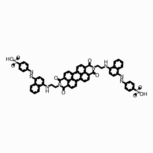 O=C1c2ccc3c4ccc5c6c(ccc(c7ccc(c2c37)C(=O)N1CCNc1ccc(N=Nc2ccc(S(=O)(=O)O)cc2)c2ccccc12)c64)C(=O)N(CCNc1ccc(N=Nc2ccc(S(=O)(=O)O)cc2)c2ccccc12)C5=O